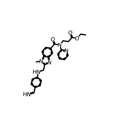 CCOC(=O)CCN(C(=O)c1ccc2c(c1)nc(CNc1ccc(C=N)cc1)n2C)c1ccccn1